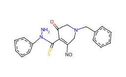 NN(C(=S)C1=C(N=O)CN(Cc2ccccc2)CC1=O)c1ccccc1